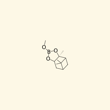 COB1OC2CC3CC(C3(C)C)[C@]2(C)O1